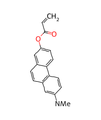 C=CC(=O)Oc1ccc2c(ccc3cc(NC)ccc32)c1